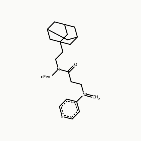 C=[N+](CCC(=O)N(CCCCC)CCC12CC3CC(CC(C3)C1)C2)c1ccncc1